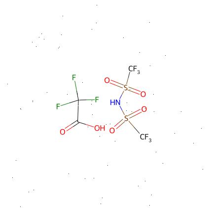 O=C(O)C(F)(F)F.O=S(=O)(NS(=O)(=O)C(F)(F)F)C(F)(F)F